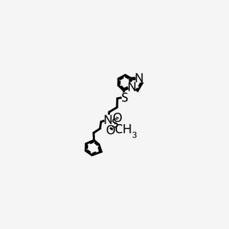 CS(=O)(=O)N(CCCSc1cccc2nccn12)CCCc1ccccc1